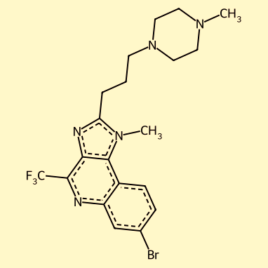 CN1CCN(CCCc2nc3c(C(F)(F)F)nc4cc(Br)ccc4c3n2C)CC1